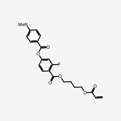 C=CC(=O)OCCCCOC(=O)c1ccc(OC(=O)c2ccc(NC)cc2)cc1F